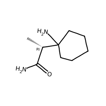 C[C@@H](C(N)=O)C1(N)CCCCC1